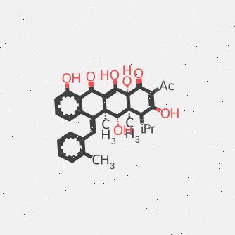 CC(=O)C1=C(O)C(C(C)C)[C@@]2(C)[C@H](O)[C@]3(C)C(=C(O)[C@@]2(O)C1=O)C(=O)c1c(O)cccc1/C3=C\c1ccccc1C